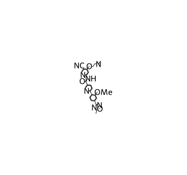 COc1cc(-c2noc(C)n2)ccc1-c1ccc(C(=O)Nc2cc(OCCN(C)C)c(C#N)cn2)cn1